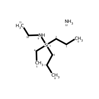 CCC[Si](CC)(CCC)NCC.N